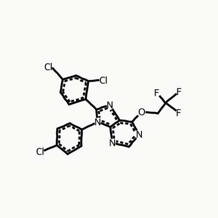 FC(F)(F)COc1ncnc2c1nc(-c1ccc(Cl)cc1Cl)n2-c1ccc(Cl)cc1